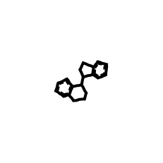 c1ccc2c(c1)CCCC2C1CCc2ccccc21